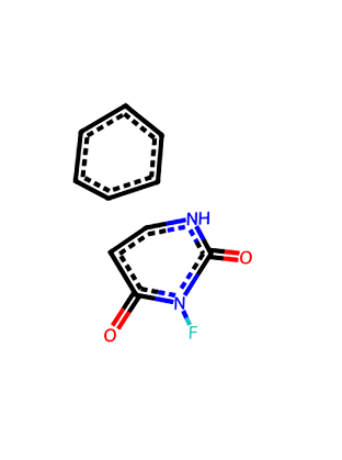 O=c1cc[nH]c(=O)n1F.c1ccccc1